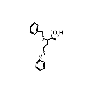 C=C(C(=O)O)C(CCSCc1ccccc1)SCc1ccccc1